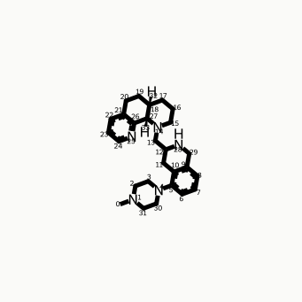 CN1CCN(c2cccc3c2CC(CN2CCC[C@H]4CCc5cccnc5[C@H]42)NC3)CC1